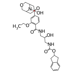 CCOc1cc(C(=O)N2C3COCC2CC(O)C3)ccc1C(=O)NC[C@@H](O)CNC(=O)OC1Cc2ccccc2C1